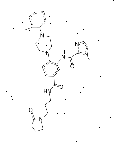 Cc1ccccc1N1CCN(c2ccc(C(=O)NCCCN3CCCC3=O)cc2NC(=O)c2nccn2C)CC1